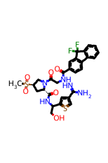 CS(=O)(=O)[C@@H]1C[C@@H](C(=O)NC(CO)c2cc(C(=N)N)cs2)N(C(=O)CNC(=O)c2ccc3c(c2)C(F)(F)c2ccccc2-3)C1